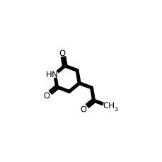 CC(=O)CC1CC(=O)NC(=O)C1